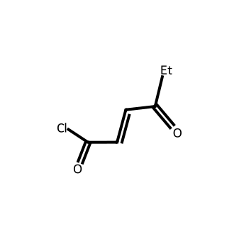 CCC(=O)C=CC(=O)Cl